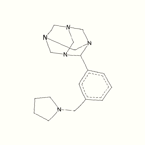 c1cc(CN2CCCC2)cc(C2N3CN4CN(C3)CN2C4)c1